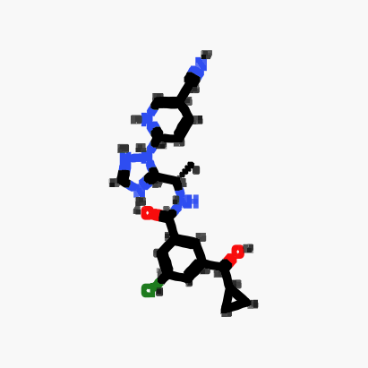 C[C@H](NC(=O)c1cc(Cl)cc(C(=O)C2CC2)c1)c1ncnn1-c1ccc(C#N)cn1